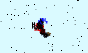 C=C1N=C(N)C=CN1[C@@H]1O[C@H](COP2(=O)OCCC(c3cccc(Br)c3)O2)[C@@H](O)[C@@]1(C)O